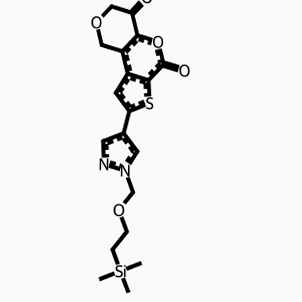 C[Si](C)(C)CCOCn1cc(-c2cc3c4c(oc(=O)c3s2)C(=O)COC4)cn1